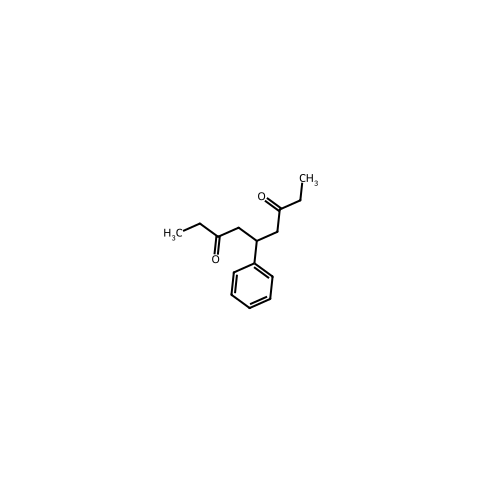 CCC(=O)CC(CC(=O)CC)c1ccccc1